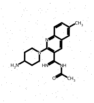 CC(=O)NC(=N)c1cc2cc(C)ccc2nc1N1CCC(N)CC1